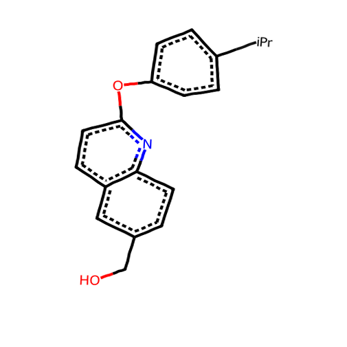 CC(C)c1ccc(Oc2ccc3cc(CO)ccc3n2)cc1